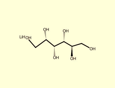 OC[C@@H](O)[C@@H](O)[C@H](O)[C@@H](O)CO.[LiH]